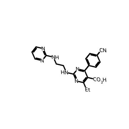 CCc1nc(NCCNc2ncccn2)nc(-c2ccc(C#N)cc2)c1C(=O)O